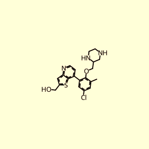 Cc1cc(Cl)cc(-c2ccnc3cc(CO)sc23)c1OCC1CNCCN1